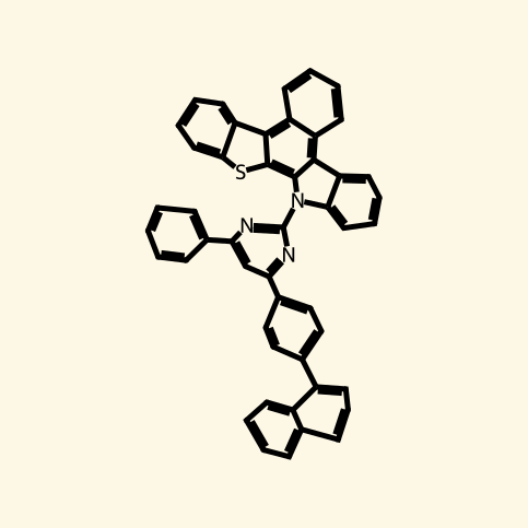 c1ccc(-c2cc(-c3ccc(-c4cccc5ccccc45)cc3)nc(-n3c4ccccc4c4c5ccccc5c5c6ccccc6sc5c43)n2)cc1